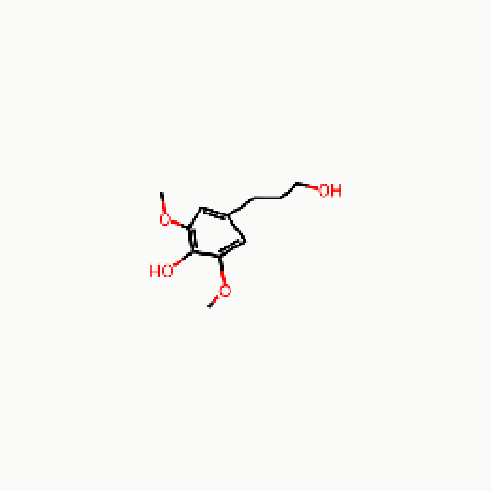 COc1cc(CCCO)cc(OC)c1O